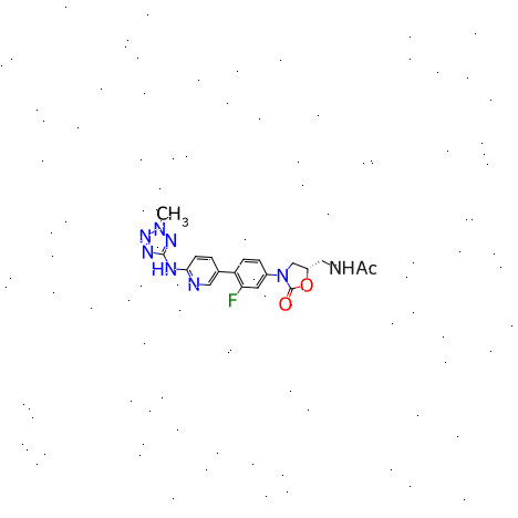 CC(=O)NC[C@H]1CN(c2ccc(-c3ccc(Nc4nnn(C)n4)nc3)c(F)c2)C(=O)O1